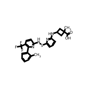 Cc1ccccc1-c1nc(NSc2cccc(NC3CC(C)(C(=O)O)C3)n2)ccc1C(F)(F)F